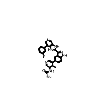 CCC(C)C(=O)NC1C=NC=C(c2ccc3[nH]nc(C4Nc5cncc(-c6cccc(F)c6)c5N4)c3c2)C1C